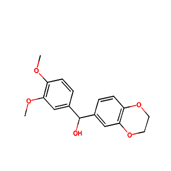 COc1ccc(C(O)c2ccc3c(c2)OCCO3)cc1OC